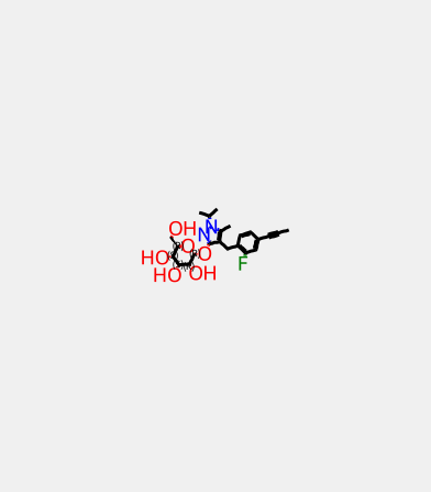 CC#Cc1ccc(Cc2c(O[C@H]3O[C@H](CO)[C@@H](O)[C@H](O)[C@H]3O)nn(C(C)C)c2C)c(F)c1